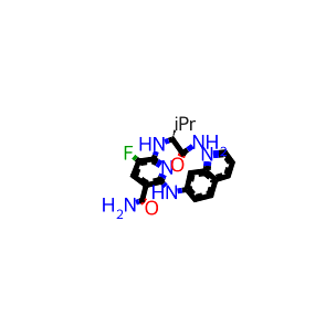 CC(C)[C@@H](Nc1nc(Nc2ccc3cccnc3c2)c(C(N)=O)cc1F)C(N)=O